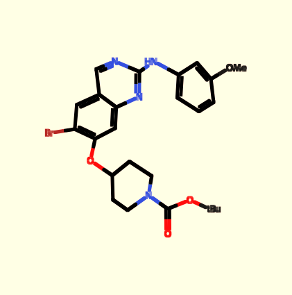 COc1cccc(Nc2ncc3cc(Br)c(OC4CCN(C(=O)OC(C)(C)C)CC4)cc3n2)c1